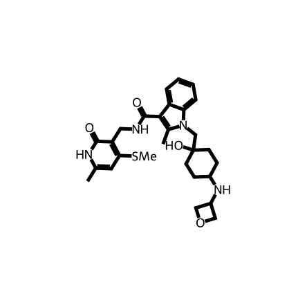 CSc1cc(C)[nH]c(=O)c1CNC(=O)c1c(C)n(CC2(O)CCC(NC3COC3)CC2)c2ccccc12